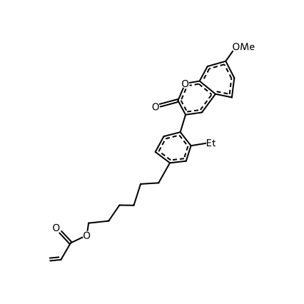 C=CC(=O)OCCCCCCc1ccc(-c2cc3ccc(OC)cc3oc2=O)c(CC)c1